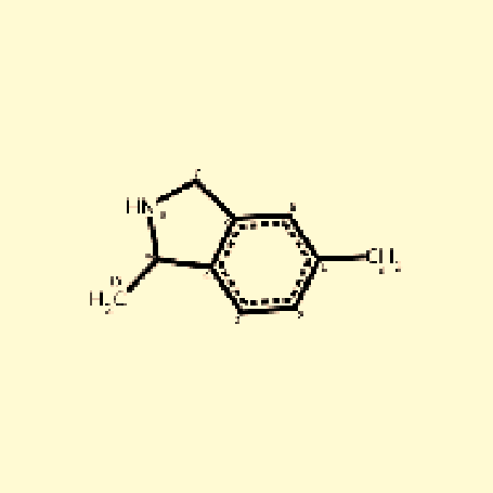 Cc1ccc2c(c1)CNC2C